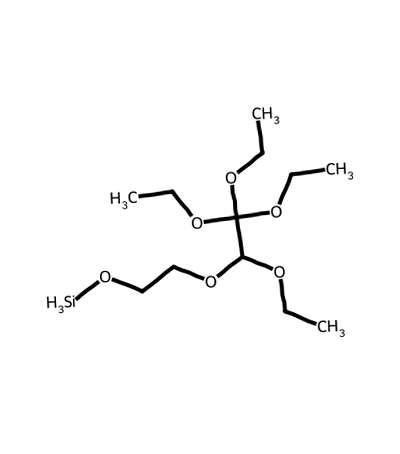 CCOC(OCCO[SiH3])C(OCC)(OCC)OCC